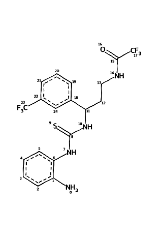 Nc1ccccc1NC(=S)NC(CCNC(=O)C(F)(F)F)c1cccc(C(F)(F)F)c1